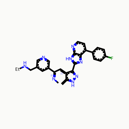 C=c1[nH]nc(-c2nc3c(-c4ccc(F)cc4)ccnc3[nH]2)/c1=C/C(=N\C)c1cncc(CNCC)c1